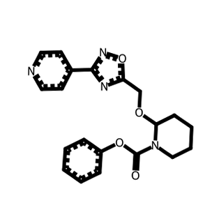 O=C(Oc1ccccc1)N1CCCCC1OCc1nc(-c2ccncc2)no1